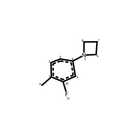 Cc1ccc(N2CCC2)cc1F